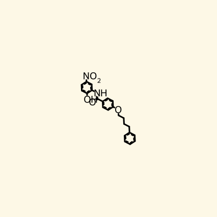 O=C(Nc1cc([N+](=O)[O-])ccc1O)c1ccc(OCCCCc2ccccc2)cc1